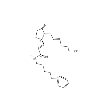 C[C@@H](CCCCCc1ccccc1)[C@H](O)C=C[C@H]1CCC(=O)N1CC=CCCCC(=O)O